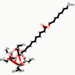 CCCCCCCCCCCCCCCCCCOC(=O)CCCCCCCCCC[Si]12O[Si]3(CC(C)C)O[Si]4(CC(C)C)O[Si]5(CC(C)C)O[Si@](CC(C)C)(O3)O[Si](CC(C)C)(O1)O[Si@](CC(C)C)(O5)O[Si@@](CC(C)C)(O2)O4